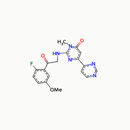 COc1ccc(F)c(C(=O)CNc2nc(-c3ccncn3)cc(=O)n2C)c1